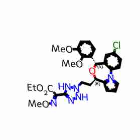 CCOC(=O)C(=NOC)C1=NNN(CC[C@H]2O[C@H](c3cccc(OC)c3OC)c3cc(Cl)ccc3-n3cccc32)N1